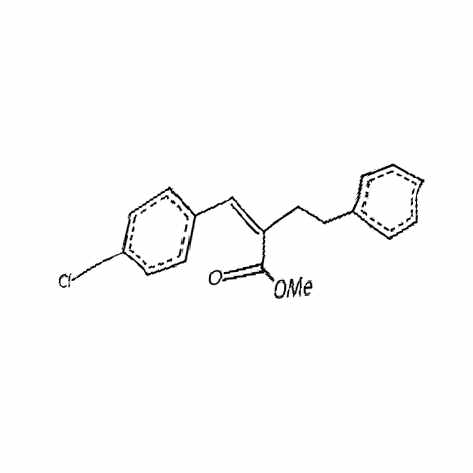 COC(=O)C(=Cc1ccc(Cl)cc1)CCc1ccccc1